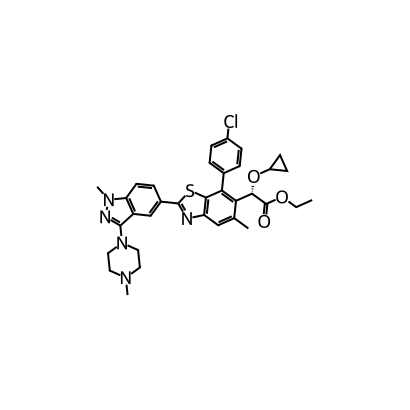 CCOC(=O)[C@@H](OC1CC1)c1c(C)cc2nc(-c3ccc4c(c3)c(N3CCN(C)CC3)nn4C)sc2c1-c1ccc(Cl)cc1